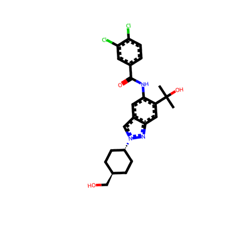 CC(C)(O)c1cc2nn([C@H]3CC[C@H](CO)CC3)cc2cc1NC(=O)c1ccc(Cl)c(Cl)c1